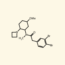 COC1CCC(N2CCC2)C(N(C)C(=O)Cc2ccc(Br)c(Br)c2)C1